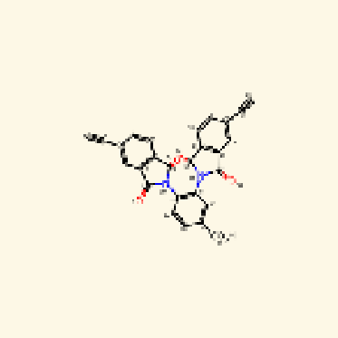 C#Cc1ccc2c(c1)C(=O)N(c1ccc(C(=O)O)cc1N1C(=O)c3ccc(C#C)cc3C1=O)C2=O